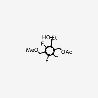 CCO.COCc1c(F)c(F)c(COC(C)=O)c(F)c1F